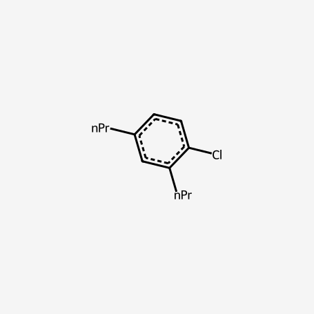 CCCc1ccc(Cl)c(CCC)c1